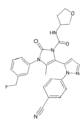 Cc1c(-c2ccnn2-c2ccc(C#N)cc2)n(C(=O)NC2CCOC2)c(=O)n1-c1cccc(CF)c1